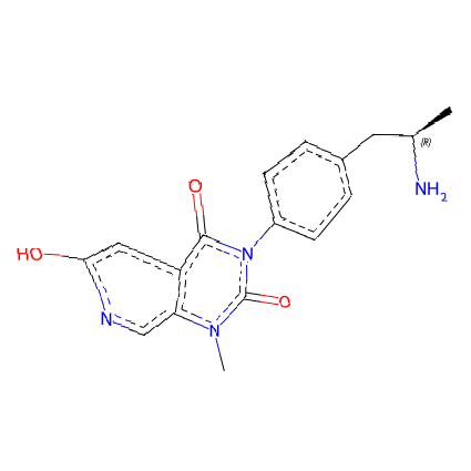 C[C@@H](N)Cc1ccc(-n2c(=O)c3cc(O)ncc3n(C)c2=O)cc1